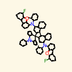 Cc1ccccc1N(c1cc2c(c3ccccc13)-c1c(cc(N(c3ccccc3C)c3cccc4c3oc3c(F)cccc34)c3ccccc13)C21c2ccccc2N(c2ccccc2)c2ccccc21)c1cccc2c1oc1c(F)cccc12